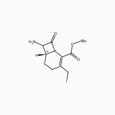 CC(C)(C)OC(=O)C1=C(CI)CS[C@@H]2C(N)C(=O)N12